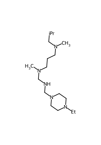 CCN1CCN(CNCN(C)CCCN(C)CC(C)C)CC1